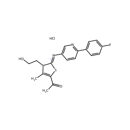 CC(=O)c1s/c(=N\c2ccc(-c3ccc(F)cc3)nc2)n(CCO)c1C.Cl